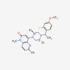 CC[C@H]1CN(C(C)c2ccc(OC(F)(F)F)cc2F)[C@H](CC)CN1c1cc(=O)n(C)c2ccc(C#N)nc12